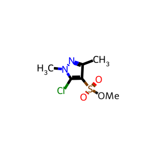 COS(=O)(=O)c1c(C)nn(C)c1Cl